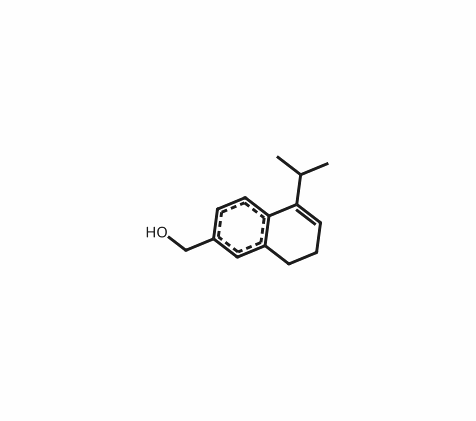 CC(C)C1=CCCc2cc(CO)ccc21